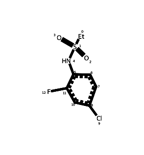 CCS(=O)(=O)Nc1ccc(Cl)cc1F